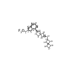 FC(F)(F)Cc1cc2c(N3CCC4(CN(CC5CC6(CCC6)C5)C4)C3)ncnc2s1